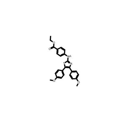 CCOC(=O)c1ccc(Nc2nc(-c3ccc(OC)cc3)c(-c3ccc(OC)cc3)s2)cc1